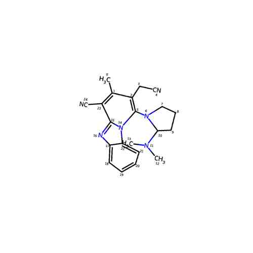 Cc1c(CC#N)c(N2CCCC2N(C)C)n2c(nc3ccccc32)c1C#N